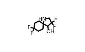 OC1C(F)(F)CNC12CCC(F)(F)CC2